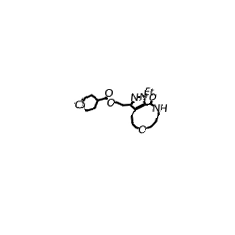 CCn1nc(CCOC(=O)C2CCOCC2)c2c1C(=O)NCCCOCCC2